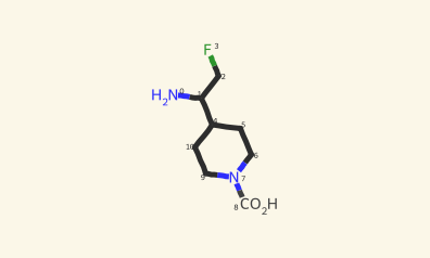 NC(CF)C1CCN(C(=O)O)CC1